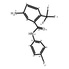 Nc1ccc(C(F)(F)F)c(C(=O)Nc2ccc(F)cc2)c1